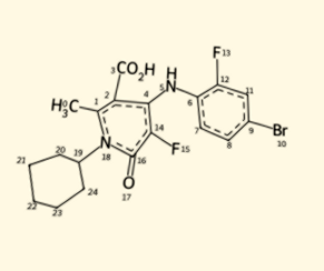 Cc1c(C(=O)O)c(Nc2ccc(Br)cc2F)c(F)c(=O)n1C1CCCCC1